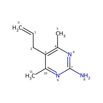 C=CCc1c(C)nc(N)nc1C